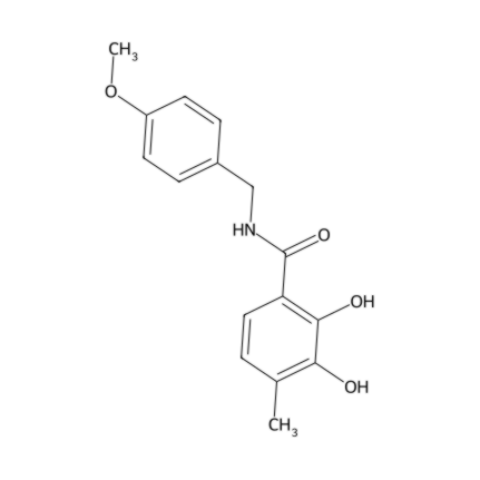 COc1ccc(CNC(=O)c2ccc(C)c(O)c2O)cc1